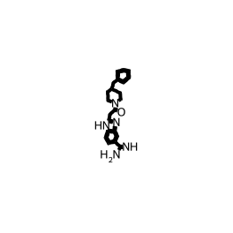 N=C(N)c1ccc2[nH]c(CC(=O)N3CCC(Cc4ccccc4)CC3)nc2c1